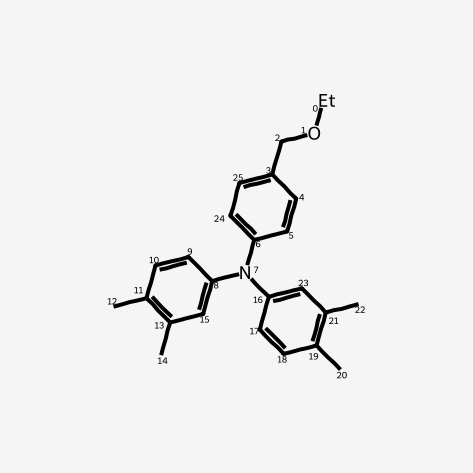 CCOCc1ccc(N(c2ccc(C)c(C)c2)c2ccc(C)c(C)c2)cc1